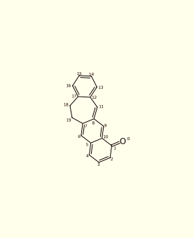 O=C1C=CC=c2cc3c(cc21)=Cc1ccccc1CC3